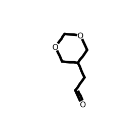 O=CCC1COCOC1